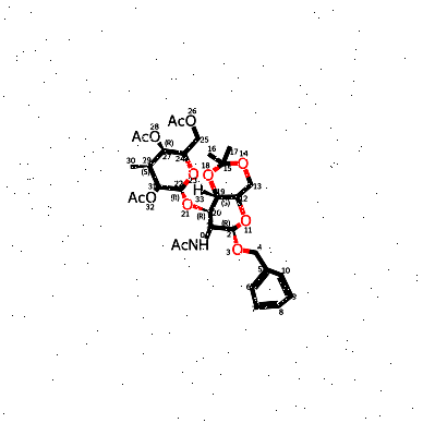 CC(=O)NC1[C@H](OCc2ccccc2)OC2COC(C)(C)O[C@H]2[C@@H]1O[C@@H]1OC(COC(C)=O)[C@H](OC(C)=O)[C@H](C)C1OC(C)=O